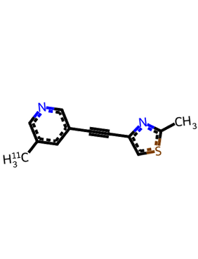 Cc1nc(C#Cc2cncc([11CH3])c2)cs1